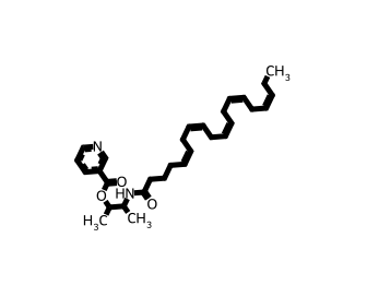 CC/C=C\C/C=C\C/C=C\C/C=C\C/C=C\CCCC(=O)NC(C)C(C)OC(=O)c1cccnc1